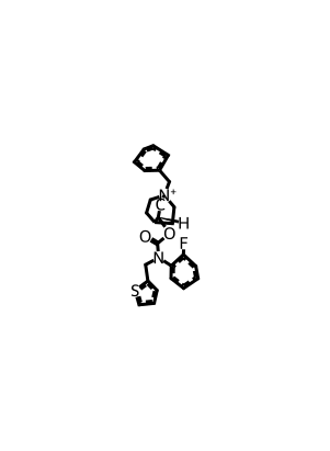 O=C(O[C@H]1C[N+]2(Cc3ccccc3)CCC1CC2)N(Cc1cccs1)c1ccccc1F